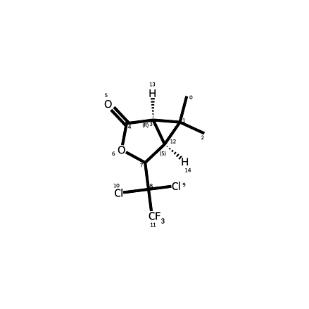 CC1(C)[C@@H]2C(=O)OC(C(Cl)(Cl)C(F)(F)F)[C@@H]21